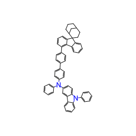 c1ccc(N(c2ccc(-c3ccc(-c4cccc5c4-c4ccccc4C54CCC5CCCC4C5)cc3)cc2)c2ccc3c(c2)c2ccccc2n3-c2ccccc2)cc1